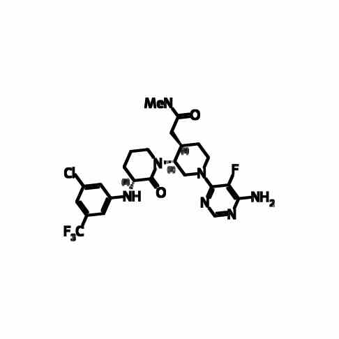 CNC(=O)C[C@H]1CCN(c2ncnc(N)c2F)C[C@@H]1N1CCC[C@@H](Nc2cc(Cl)cc(C(F)(F)F)c2)C1=O